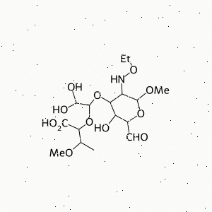 CCONC1C(OC)OC(C=O)C(O)C1OC(OC(C(=O)O)C(C)OC)C(O)O